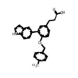 Cc1ccc(COc2ccc(CCC(=O)O)cc2-c2ccc3[nH]ccc3c2)cc1